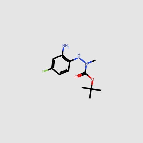 CN(Nc1ccc(F)cc1N)C(=O)OC(C)(C)C